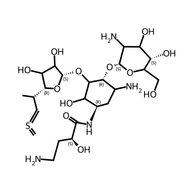 C=S=CC(C)[C@H]1O[C@@H](OC2C(O)[C@H](NC(=O)[C@@H](O)CCN)CC(N)[C@H]2O[C@H]2OC(CO)[C@@H](O)C(O)C2N)C(O)C1O